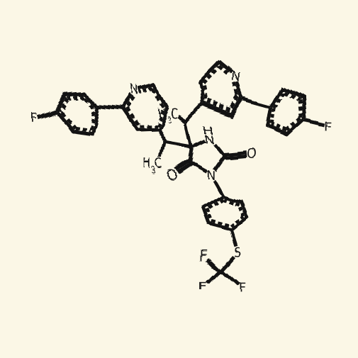 CC(c1ccnc(-c2ccc(F)cc2)c1)C1(C(C)c2ccnc(-c3ccc(F)cc3)c2)NC(=O)N(c2ccc(SC(F)(F)F)cc2)C1=O